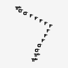 [Cl-].[Cl-].[Cl-].[Cl-].[F-].[F-].[F-].[F-].[F-].[F-].[F-].[F-].[Ti+4].[Ti+4].[Ti+4]